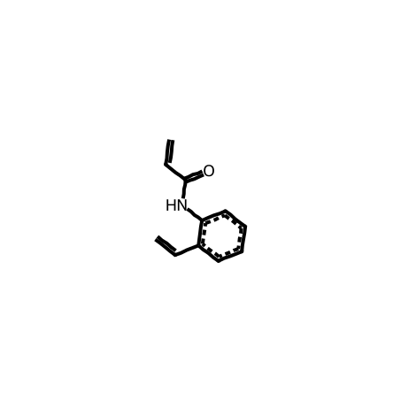 C=CC(=O)Nc1ccccc1C=C